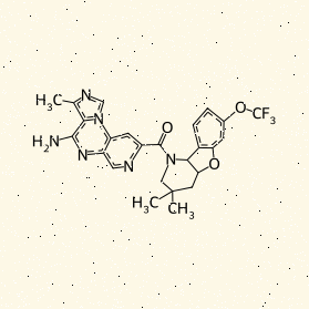 Cc1ncn2c1c(N)nc1cnc(C(=O)N3CC(C)(C)CC4Oc5cc(OC(F)(F)F)ccc5C43)cc12